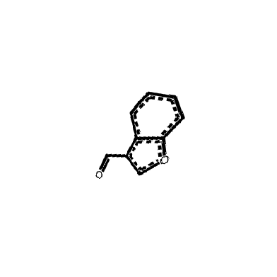 O=Cc1coc2ccccc12